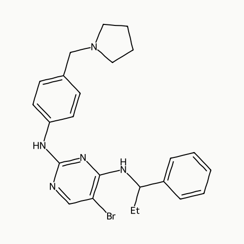 CCC(Nc1nc(Nc2ccc(CN3CCCC3)cc2)ncc1Br)c1ccccc1